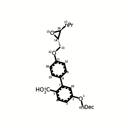 CCCCCCCCCCOc1ccc(C(=O)O)c(-c2ccc(OC[C@@H]3O[C@H]3CCC)cc2)c1